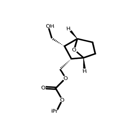 CC(C)OC(=O)OC[C@@H]1[C@H](CO)[C@@H]2CC[C@H]1O2